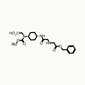 CC(C)(C)OC(=O)N(CC(=O)O)[C@H]1CC[C@H](NC(=O)CNCC(=O)OCc2ccccc2)CC1